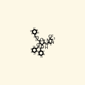 FC(F)(F)c1cncc(N[C@@H]2CO[C@H](COCc3ccccc3)[C@H](OCc3ccccc3)[C@@H]2OCc2ccccc2)n1